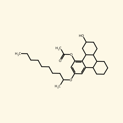 CCCCCCCCC(C)Oc1cc(OC(C)=O)c2c(c1)C1CCCCC1C1CCC(O)CC21